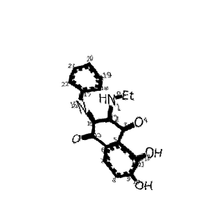 CCNC1C(=O)c2c(ccc(O)c2O)C(=O)C1=Nc1ccccc1